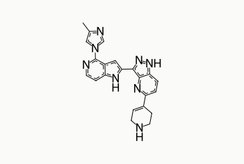 Cc1cn(-c2nccc3[nH]c(-c4n[nH]c5ccc(C6=CCNCC6)nc45)cc23)cn1